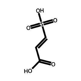 O=C(O)/C=C/S(=O)(=O)O